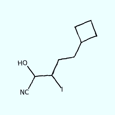 N#CC(O)C(I)CCC1CCC1